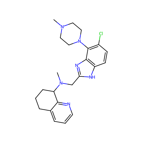 CN1CCN(c2c(Cl)ccc3[nH]c(CN(C)C4CCCc5cccnc54)nc23)CC1